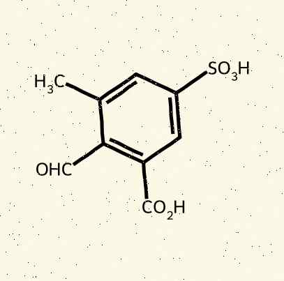 Cc1cc(S(=O)(=O)O)cc(C(=O)O)c1C=O